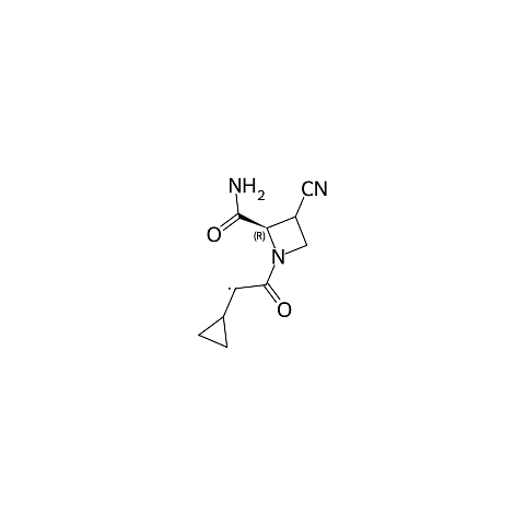 N#CC1CN(C(=O)[CH]C2CC2)[C@H]1C(N)=O